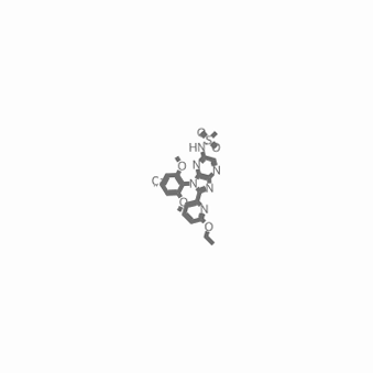 CCOc1cccc(-c2nc3ncc(NS(C)(=O)=O)nc3n2-c2c(OC)cccc2OC)n1.[Ca]